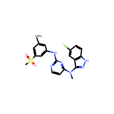 COc1cc(Nc2nccc(N(C)c3n[nH]c4ccc(F)cc34)n2)cc(S(C)(=O)=O)c1